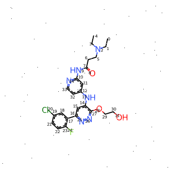 CCN(CC)CCC(=O)Nc1cc(Nc2cc(-c3cc(Cl)ccc3F)nnc2OCCO)ccn1